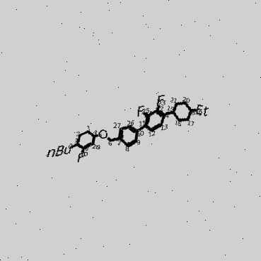 CCCCC1CCC(OCc2ccc(-c3ccc(C4CCC(CC)CC4)c(F)c3F)cc2)C=C1F